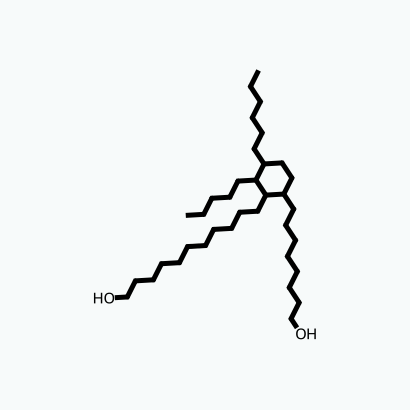 CCCCCCC1CCC(CCCCCCCCO)C(CCCCCCCCCCCO)C1CCCCC